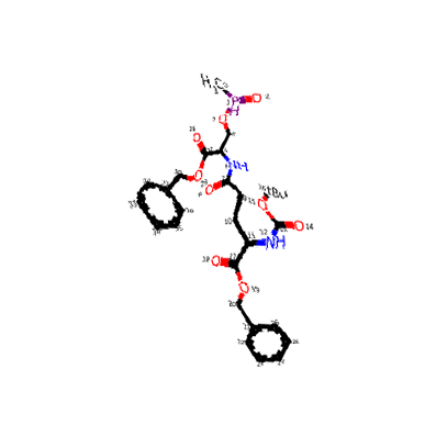 C[PH](=O)OCC(NC(=O)CCC(NC(=O)OC(C)(C)C)C(=O)OCc1ccccc1)C(=O)OCc1ccccc1